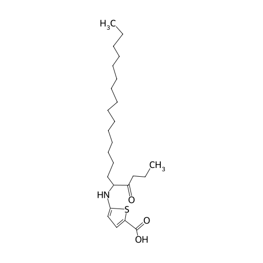 CCCCCCCCCCCCCCCC(Nc1ccc(C(=O)O)s1)C(=O)CCC